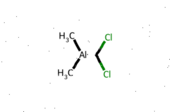 ClCCl.[CH3][Al][CH3]